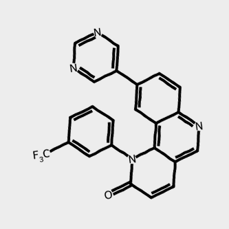 O=c1ccc2cnc3ccc(-c4cncnc4)cc3c2n1-c1cccc(C(F)(F)F)c1